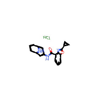 Cl.O=C(NC1CC2CCCC(C1)N2)c1cccc2oc(C3CC3)nc12